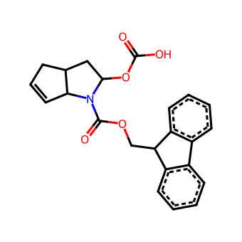 O=C(O)OC1CC2CC=CC2N1C(=O)OCC1c2ccccc2-c2ccccc21